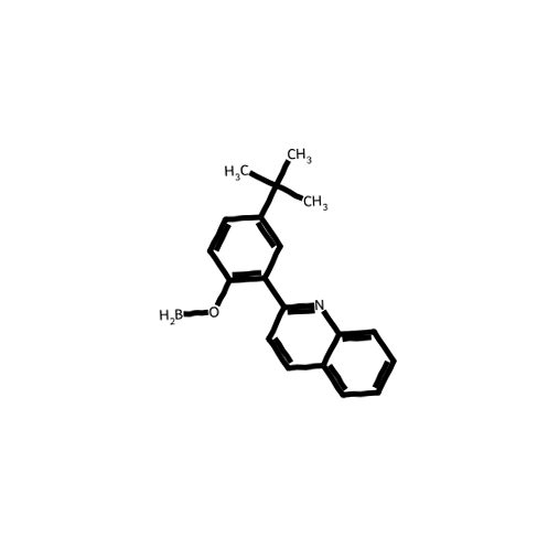 BOc1ccc(C(C)(C)C)cc1-c1ccc2ccccc2n1